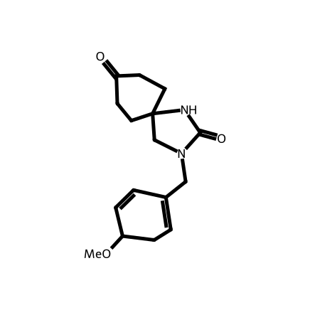 COC1C=CC(CN2CC3(CCC(=O)CC3)NC2=O)=CC1